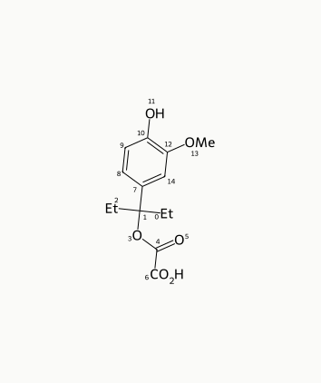 CCC(CC)(OC(=O)C(=O)O)c1ccc(O)c(OC)c1